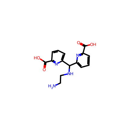 NCCNC(c1cccc(C(=O)O)n1)c1cccc(C(=O)O)n1